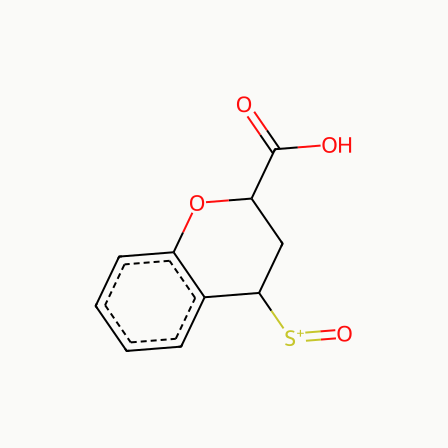 O=[S+]C1CC(C(=O)O)Oc2ccccc21